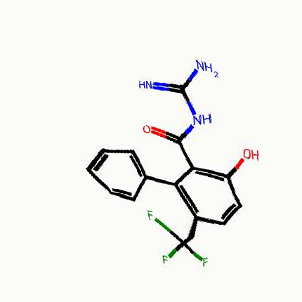 N=C(N)NC(=O)c1c(O)ccc(C(F)(F)F)c1-c1ccccc1